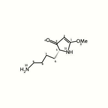 COC1=CC(=O)[C@@H](CCCCN)N1